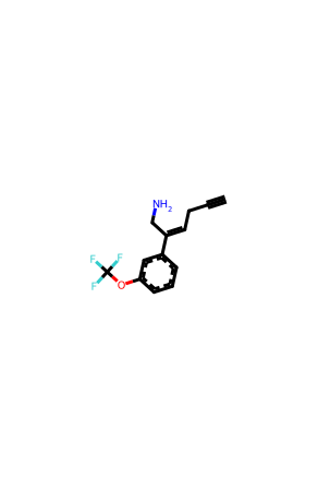 C#CCC=C(CN)c1cccc(OC(F)(F)F)c1